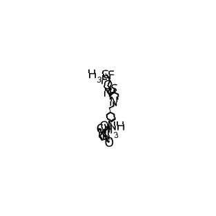 Cn1ccc(=O)n1CC(=O)N[C@H]1CC[C@H](CCN2CCc3sc(OCC(C)(F)F)nc3C2)CC1